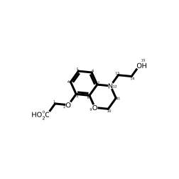 O=C(O)COc1cccc2c1OCCN2CCO